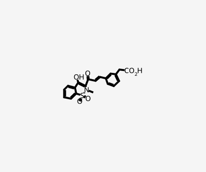 CN1C(C(=O)C=Cc2cccc(CC(=O)O)c2)=C(O)c2ccccc2S1(=O)=O